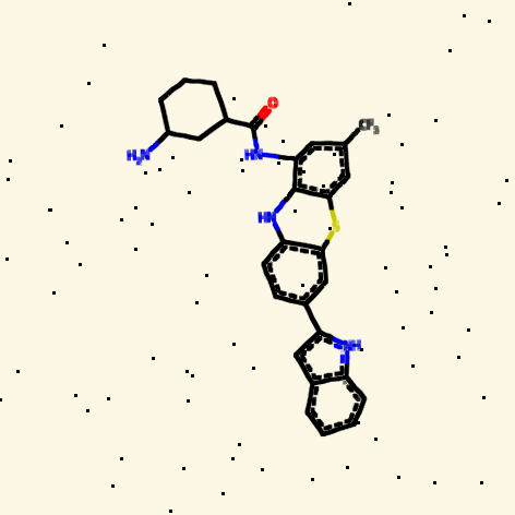 NC1CCCC(C(=O)Nc2cc(C(F)(F)F)cc3c2Nc2ccc(-c4cc5ccccc5[nH]4)cc2S3)C1